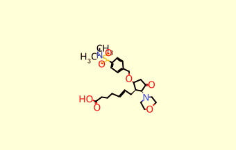 CN(C)S(=O)(=O)c1ccc(CO[C@H]2CC(=O)[C@H](N3CCOCC3)[C@H]2CC=CCCCC(=O)O)cc1